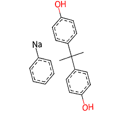 CC(C)(c1ccc(O)cc1)c1ccc(O)cc1.[Na][c]1ccccc1